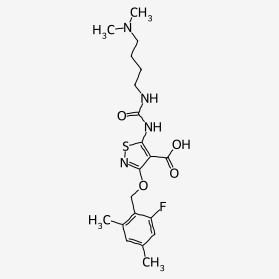 Cc1cc(C)c(COc2nsc(NC(=O)NCCCCN(C)C)c2C(=O)O)c(F)c1